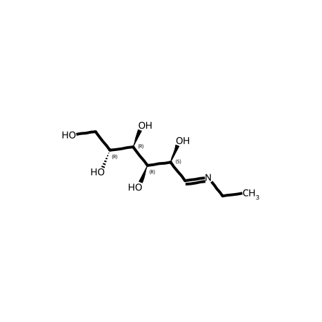 CCN=C[C@H](O)[C@@H](O)[C@H](O)[C@H](O)CO